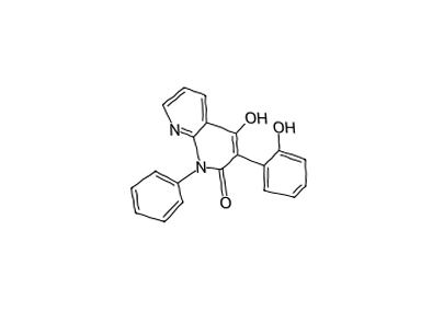 O=c1c(-c2ccccc2O)c(O)c2cccnc2n1-c1ccccc1